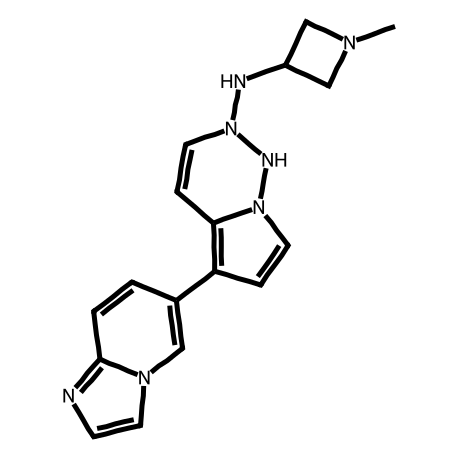 CN1CC(NN2C=Cc3c(-c4ccc5nccn5c4)ccn3N2)C1